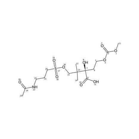 COC(=O)OCC[C@](O)(C(=O)O)C(C)(C)COS(=O)(=O)CCCNC(C)=O